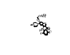 COCCOc1cc2ncc(C(N)=O)c(Nc3cc(F)ccc3F)c2cc1N1CCN(C)CC1